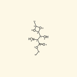 CCOC(=O)C(N)C(O)C1OC(C)O1